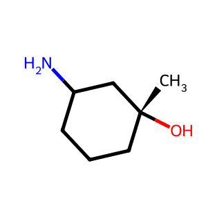 C[C@@]1(O)CCCC(N)C1